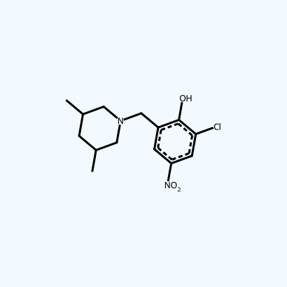 CC1CC(C)CN(Cc2cc([N+](=O)[O-])cc(Cl)c2O)C1